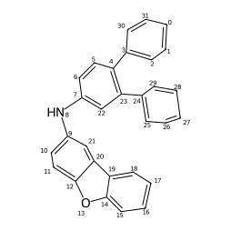 c1ccc(-c2ccc(Nc3ccc4oc5ccccc5c4c3)cc2-c2ccccc2)cc1